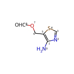 Nc1ncsc1COC=O